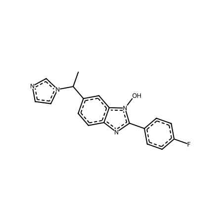 CC(c1ccc2nc(-c3ccc(F)cc3)n(O)c2c1)n1ccnc1